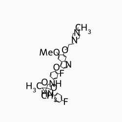 COc1cc2c(Oc3ccc(NC(=O)[C@@]4(C(=O)Nc5ccc(F)cc5)[C@H](C)[C@@H]4C)cc3F)ccnc2cc1OCCCN1CCN(C)CC1